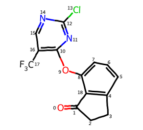 O=C1CCc2cccc(Oc3nc(Cl)ncc3C(F)(F)F)c21